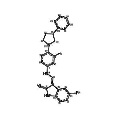 Cc1cc(NC=C2C(=O)Nc3ccc(F)cc32)ccc1N1CCC(c2ccccn2)C1